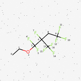 CCOC(F)(F)C(F)(CC(F)(F)F)C(F)(F)F